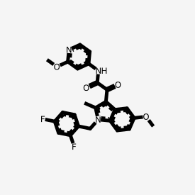 COc1ccc2c(c1)c(C(=O)C(=O)Nc1ccnc(OC)c1)c(C)n2Cc1ccc(F)cc1F